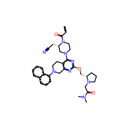 C=CC(=O)N1CCN(c2nc(OC[C@@H]3CCCN3CC(=O)N(C)C)nc3c2CCN(c2cccc4ccccc24)C3)C[C@@H]1CC#N